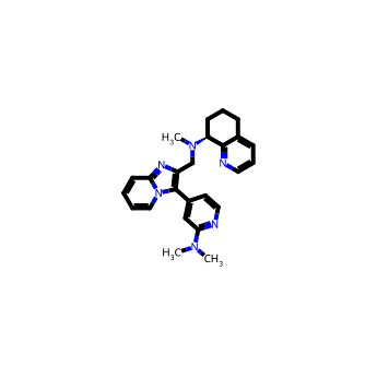 CN(C)c1cc(-c2c(CN(C)[C@H]3CCCc4cccnc43)nc3ccccn23)ccn1